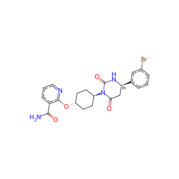 NC(=O)c1cccnc1O[C@H]1CC[C@H](N2C(=O)C[C@H](c3cccc(Br)c3)NC2=O)CC1